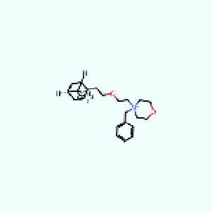 CC1(C)[C@H]2CCC(CCOCC[N+]3(Cc4ccccc4)CCOCC3)[C@H]1C2